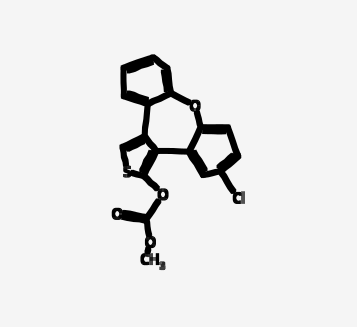 COC(=O)Oc1scc2c1-c1cc(Cl)ccc1Oc1ccccc1-2